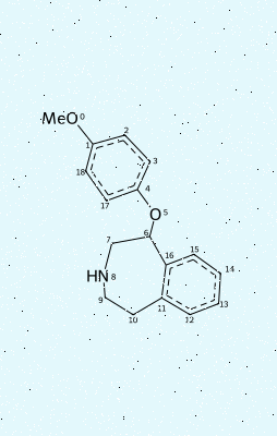 COc1ccc(OC2CNCCc3ccccc32)cc1